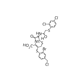 O=C(CSc1ccc(Cl)cc1Cl)N[C@@H]1C(=O)N2C(C(=O)O)=C(Sc3ccc(CCl)cc3Br)CS[C@H]12